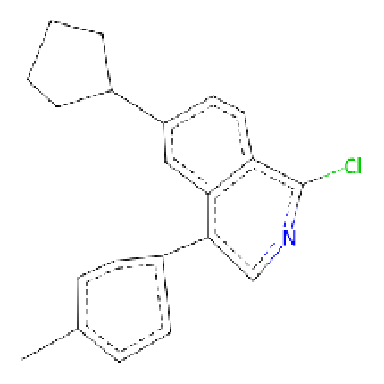 Cc1ccc(-c2cnc(Cl)c3ccc(C4CCCC4)cc23)cc1